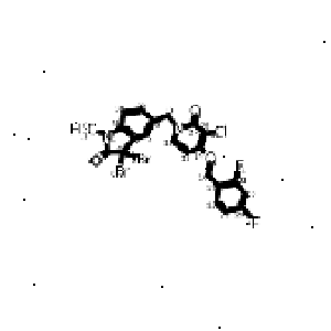 CN1C(=O)C(Br)(Br)c2cc(Cn3ccc(OCc4ccc(F)cc4F)c(Cl)c3=O)ccc21